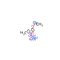 C[C@H]1CC[C@H](c2cccc(OC[C@H]3CCCN3C)c2)N(C(=O)C(=O)Nc2cncc3cn[nH]c23)C1